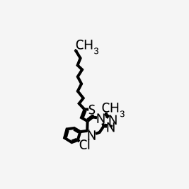 CCCCCCCCCCc1cc2c(s1)-n1c(C)nnc1CN=C2c1ccccc1Cl